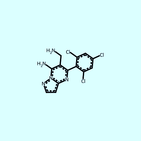 NCc1c(-c2c(Cl)cc(Cl)cc2Cl)nc2ccnn2c1N